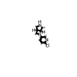 Clc1ccc(N2C[C@@H]3CNC[C@@H]32)cn1